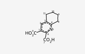 O=C(O)c1cc2c(nc1C(=O)O)CCCC2